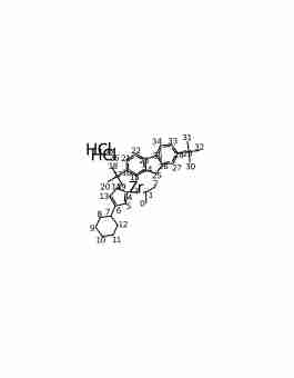 C[C](C)=[Zr]([C]1=CC(C2CCCCC2)=CC1)[c]1c(C(C)(C)C)ccc2c1Cc1cc(C(C)(C)C)ccc1-2.Cl.Cl